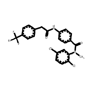 CCC(F)(F)c1ccc(CC(=O)Nc2ccc(C(=O)N(C)c3cc(Cl)ccc3Cl)cc2)cc1